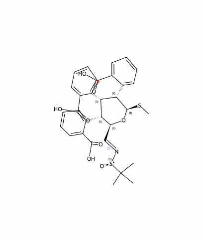 CS[C@H]1O[C@@H](/C=N/[S@+]([O-])C(C)(C)C)[C@H](c2ccccc2C(=O)O)[C@H](c2ccccc2C(=O)O)[C@@H]1c1ccccc1C(=O)O